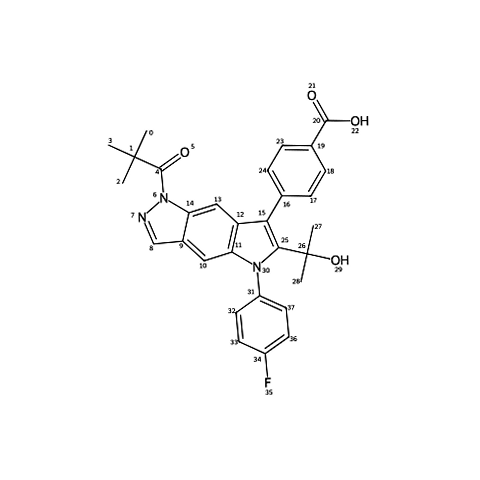 CC(C)(C)C(=O)n1ncc2cc3c(cc21)c(-c1ccc(C(=O)O)cc1)c(C(C)(C)O)n3-c1ccc(F)cc1